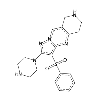 O=S(=O)(c1ccccc1)c1c(N2CCNCC2)nn2cc3c(nc12)CCNC3